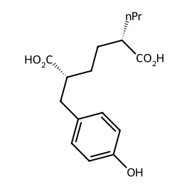 CCC[C@@H](CC[C@H](Cc1ccc(O)cc1)C(=O)O)C(=O)O